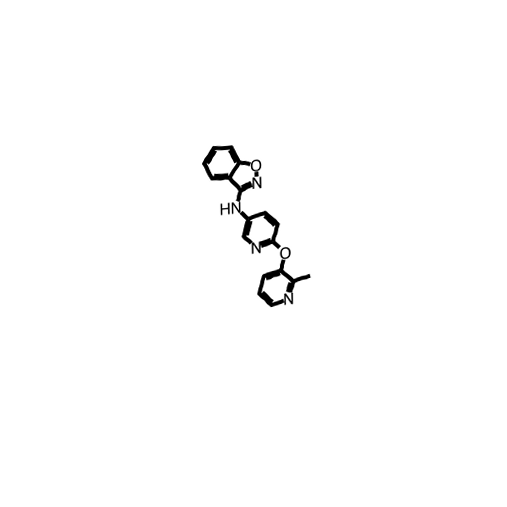 Cc1ncccc1Oc1ccc(Nc2noc3ccccc23)cn1